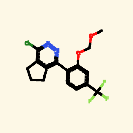 COCOc1cc(C(F)(F)F)ccc1-c1nnc(Cl)c2c1CCC2